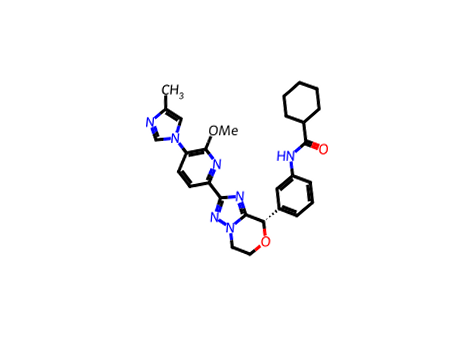 COc1nc(-c2nc3n(n2)CCO[C@H]3c2cccc(NC(=O)C3CCCCC3)c2)ccc1-n1cnc(C)c1